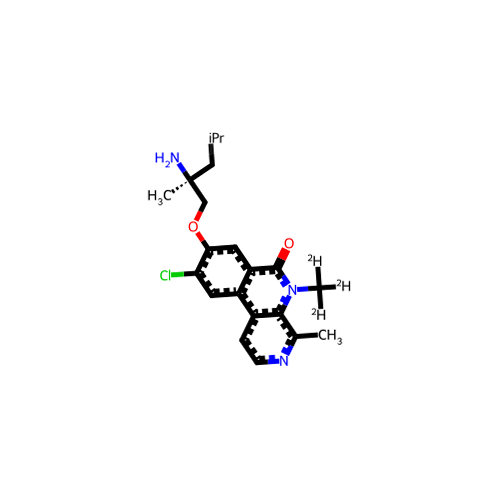 [2H]C([2H])([2H])n1c(=O)c2cc(OC[C@@](C)(N)CC(C)C)c(Cl)cc2c2ccnc(C)c21